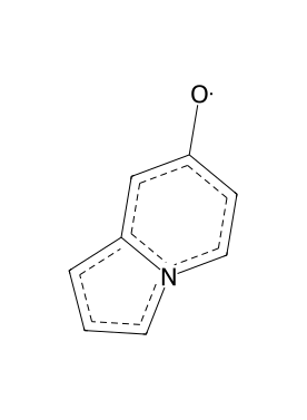 [O]c1ccn2cccc2c1